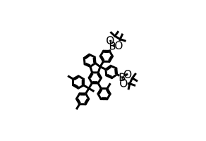 Cc1ccc(C(C)(c2ccc(C)cc2)c2cc3c(cc2-c2ccccc2C)C(c2ccc(B4OC(C)(C)C(C)(C)O4)cc2)(c2ccc(B4OC(C)(C)C(C)(C)O4)cc2)c2ccccc2-3)cc1